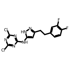 Fc1ccc(CCc2cc(Nc3nc(Cl)nc(Cl)n3)[nH]n2)cc1F